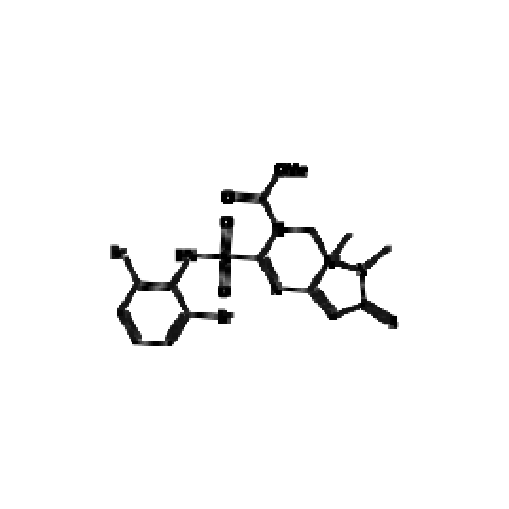 COC(=O)N1C[N+]2(C)C(=CC(=S)N2C)N=C1S(=O)(=O)Nc1c(Br)cccc1Br